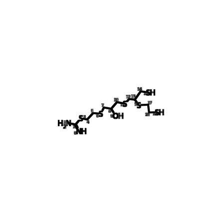 N=C(N)SCCSCC(O)CSCC(CS)SCCS